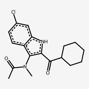 CC(=O)N(C)c1c(C(=O)C2CCCCC2)[nH]c2cc(Cl)ccc12